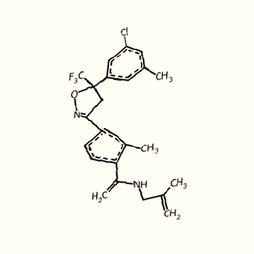 C=C(C)CNC(=C)c1ccc(C2=NOC(c3cc(C)cc(Cl)c3)(C(F)(F)F)C2)cc1C